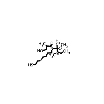 CC[C@H](C)C(C)(OC)N(CCCCSCCS)C(=O)C(C)CO